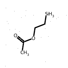 CC(=O)OCC[SiH3]